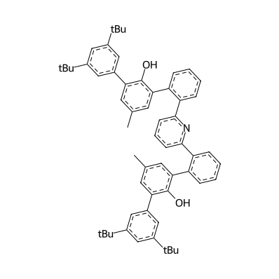 Cc1cc(-c2cc(C(C)(C)C)cc(C(C)(C)C)c2)c(O)c(-c2ccccc2-c2cccc(-c3ccccc3-c3cc(C)cc(-c4cc(C(C)(C)C)cc(C(C)(C)C)c4)c3O)n2)c1